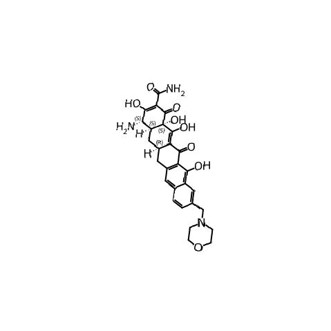 NC(=O)C1=C(O)[C@@H](N)[C@@H]2C[C@@H]3Cc4cc5ccc(CN6CCOCC6)cc5c(O)c4C(=O)C3=C(O)[C@]2(O)C1=O